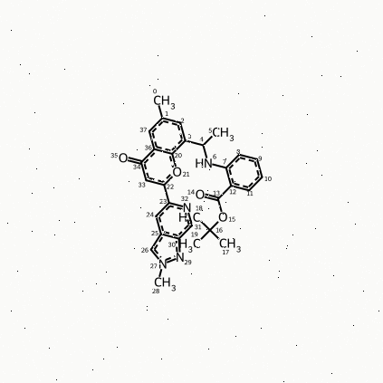 Cc1cc(C(C)Nc2ccccc2C(=O)OC(C)(C)C)c2oc(-c3cc4cn(C)nc4cn3)cc(=O)c2c1